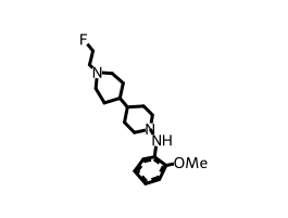 COc1ccccc1NN1CCC(C2CCN(CCF)CC2)CC1